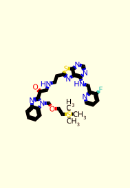 CS(C)(C)CCOCn1c(C(=O)CNCCc2nc3c(NCc4ncccc4F)ncnc3s2)nc2ccccc21